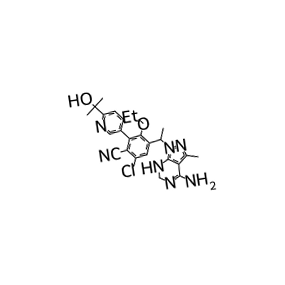 CCOc1c(C(C)n2nc(C)c3c2NCN=C3N)cc(Cl)c(C#N)c1-c1ccc(C(C)(C)O)nc1